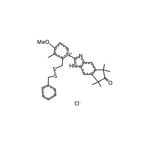 COc1cc[n+](-c2nc3cc4c(cc3[nH]2)C(C)(C)C(=O)C4(C)C)c(CSSCc2ccccc2)c1C.[Cl-]